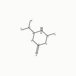 CC1CC(=O)CC(C(C)C)N1